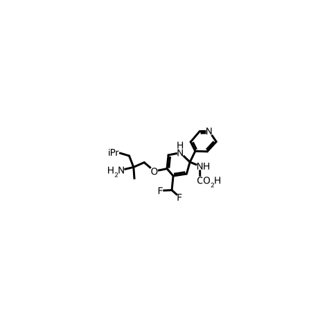 CC(C)CC(C)(N)COC1=CNC(NC(=O)O)(c2ccncc2)C=C1C(F)F